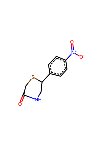 O=C1CSC(c2ccc([N+](=O)[O-])cc2)CN1